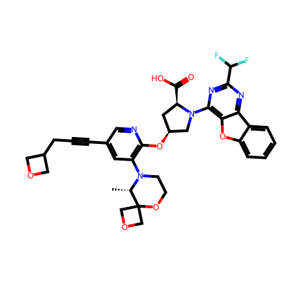 C[C@@H]1N(c2cc(C#CCC3COC3)cnc2O[C@H]2C[C@@H](C(=O)O)N(c3nc(C(F)F)nc4c3oc3ccccc34)C2)CCOC12COC2